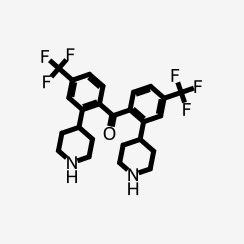 O=C(c1ccc(C(F)(F)F)cc1C1CCNCC1)c1ccc(C(F)(F)F)cc1C1CCNCC1